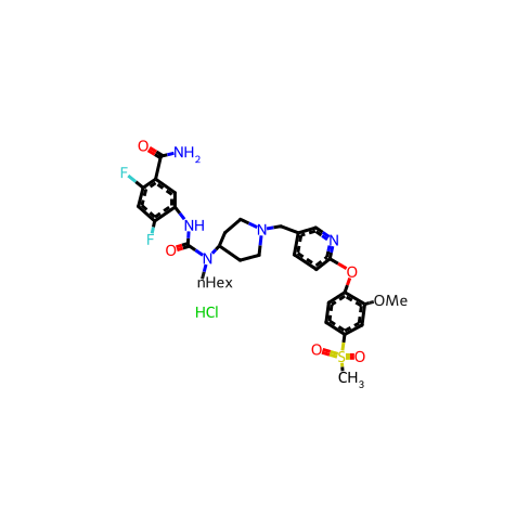 CCCCCCN(C(=O)Nc1cc(C(N)=O)c(F)cc1F)C1CCN(Cc2ccc(Oc3ccc(S(C)(=O)=O)cc3OC)nc2)CC1.Cl